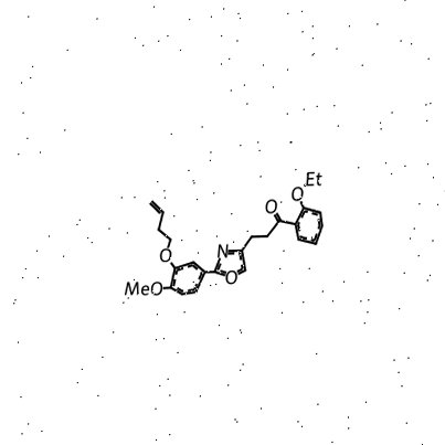 C=CCCOc1cc(-c2nc(CCC(=O)c3ccccc3OCC)co2)ccc1OC